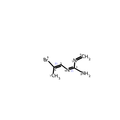 C=N/C(N)=N\C=C(/C)Br